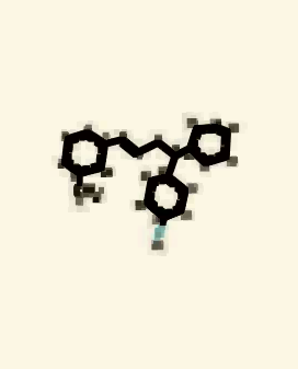 [CH2]c1cccc(C=CCC(c2ccccc2)c2ccc(F)cc2)c1